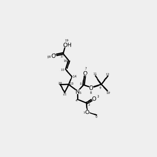 COC(=O)CN(C(=O)OC(C)(C)C)C1(C/C=C/C(=O)O)CC1